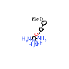 COc1cccc(-c2ccc(COc3cc(N)nc(NN)c3N)cc2)c1